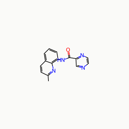 Cc1ccc2cccc(NC(=O)c3cnccn3)c2n1